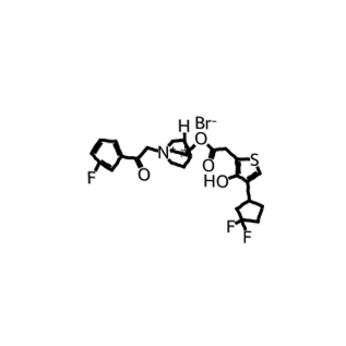 O=C(Cc1scc(C2CCC(F)(F)C2)c1O)O[C@H]1C[N+]2(CC(=O)c3cccc(F)c3)CCC1CC2.[Br-]